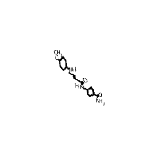 COC1CCC(NC/C=C/C(=O)Nc2ccc(C(N)=O)cc2)CC1